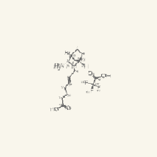 N[C@@H]1[C@@H]2CC[C@@H](C2)[C@H]1CC=CCCCC(=O)O.O=C(O)C(F)(F)F